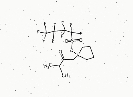 CC(C)C(=O)CS1(OS(=O)(=O)C(F)(F)C(F)(F)C(F)(F)C(F)(F)F)CCCC1